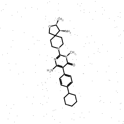 C[C@@H]1OCC2(CCN(c3nc(N)c(-c4ccc(C5CCCCC5)cc4)c(=O)n3C)CC2)[C@@H]1N